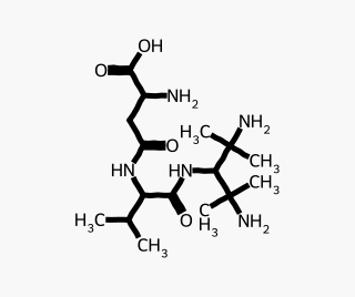 CC(C)C(NC(=O)CC(N)C(=O)O)C(=O)NC(C(C)(C)N)C(C)(C)N